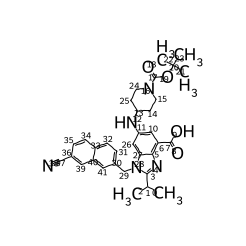 CC(C)c1nc2c(C(=O)O)cc(NC3CCN(C(=O)OC(C)(C)C)CC3)cc2n1Cc1ccc2ccc(C#N)cc2c1